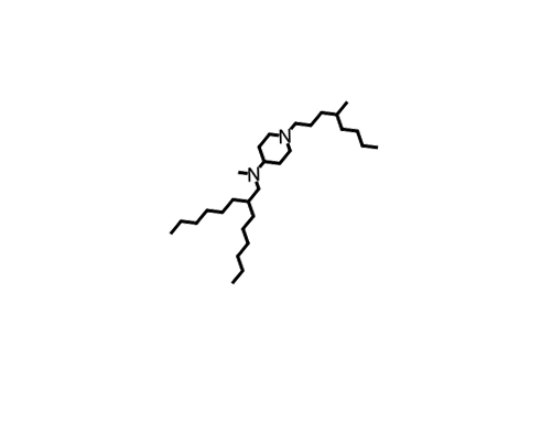 CCCCCCC(CCCCCC)CN(C)C1CCN(CCCC(C)CCCC)CC1